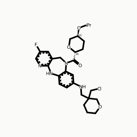 CC(C)O[C@H]1CC[C@H](C(=O)N2Cc3cc(F)cnc3Nc3ccc(NCC4(CCl)CCCOC4)cc32)OC1